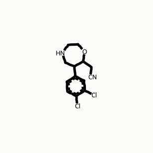 N#CCC1OCCNCC1c1ccc(Cl)c(Cl)c1